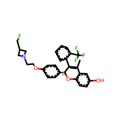 CC1=C(c2ccccc2C(F)(F)F)[C@H](c2ccc(OCCN3CC(CF)C3)cc2)Oc2ccc(O)cc21